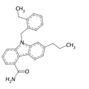 CCCc1c[c]c2c3c(C(N)=O)cccc3n(Cc3ccccc3CC)c2c1